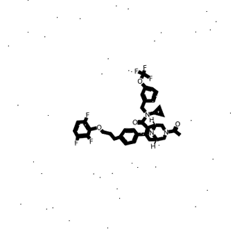 CC(=O)N1C[C@H]2CC(c3ccc(CCCOc4c(F)ccc(F)c4F)cc3)=C(C(=O)N(Cc3cccc(OC(F)(F)F)c3)C3CC3)[C@@H](C1)N2